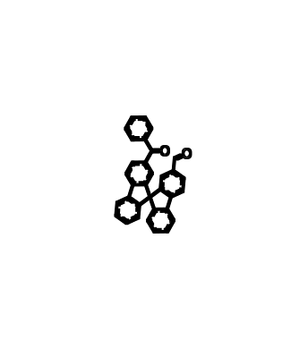 O=Cc1ccc2c(c1)C1(c3ccccc3-2)c2ccccc2-c2ccc(C(=O)c3ccccc3)cc21